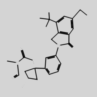 CN(C=N)C(=N)C[C@]1(c2cccc(N3Cc4c(cc(CCl)cc4C(F)(F)F)C3=O)c2)C[C@H](C)C1